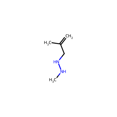 C=C(C)CNNC